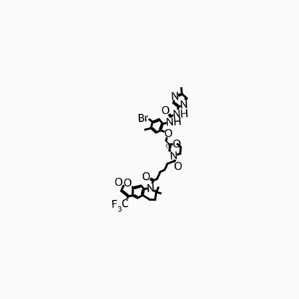 Cc1cnc(NC(=O)Nc2cc(Br)c(C)cc2OC[C@@H]2CN(C(=O)CCCCC(=O)N3c4cc5oc(=O)cc(C(F)(F)F)c5cc4CCC3(C)C)CCO2)cn1